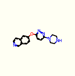 c1cc2cc(Oc3ccc(N4CCNCC4)nn3)ccc2cn1